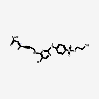 COC(=O)/C=C(\C)C#CCNc1nc(Nc2ccc(S(=O)(=O)NCCO)cc2)ncc1Br